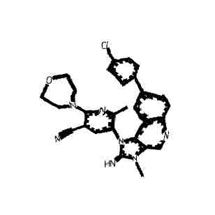 Cc1nc(N2CCOCC2)c(C#N)cc1-n1c(=N)n(C)c2cnc3ccc(-c4ccc(Cl)cc4)cc3c21